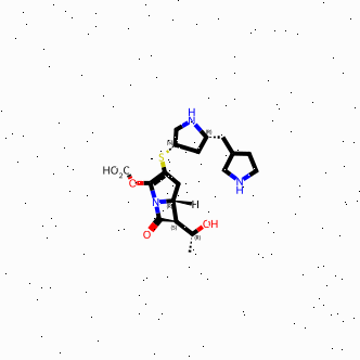 C[C@@H](O)[C@H]1C(=O)N2C(OC(=O)O)=C(S[C@@H]3CN[C@H](CC4CCNC4)C3)C[C@H]12